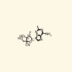 Cc1nc(N)c2ncc([C@@H]3O[C@](C#N)(CO)[C@@H](O)[C@H]3F)n2n1